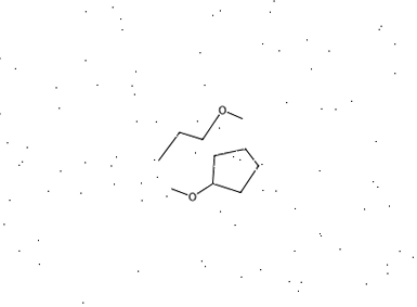 CCCOC.COC1CCCC1